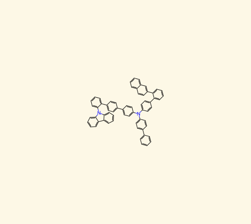 c1ccc(-c2ccc(N(c3ccc(-c4ccc(-c5ccccc5-n5c6ccccc6c6ccccc65)cc4)cc3)c3ccc(-c4ccccc4-c4ccc5ccccc5c4)cc3)cc2)cc1